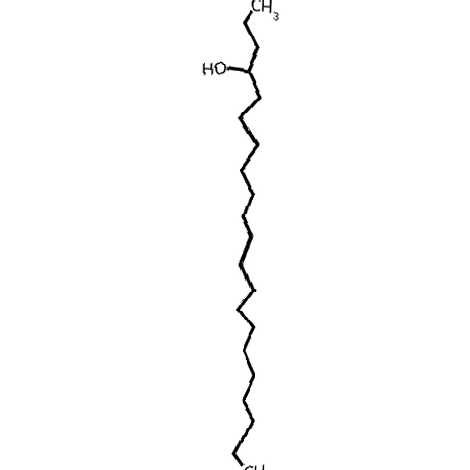 CCCCCCCCCCCCCCCCCC(O)CCC